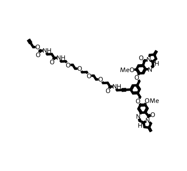 C#CCOC(=O)NCCC(=O)NCCOCCOCCOCCOCCC(=O)NCC#Cc1cc(COc2cc3c(cc2OC)C(=O)N2CC(=C)C[C@H]2C=N3)cc(COc2cc3c(cc2OC)C(=O)N2CC(=C)C[C@H]2C=N3)c1